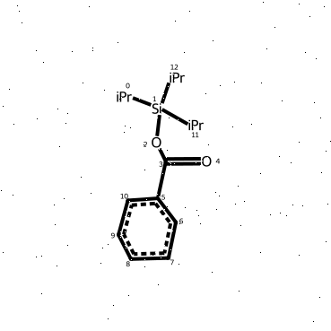 CC(C)[Si](OC(=O)c1ccccc1)(C(C)C)C(C)C